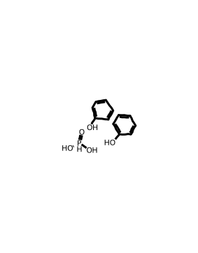 O=[PH](O)O.Oc1ccccc1.Oc1ccccc1